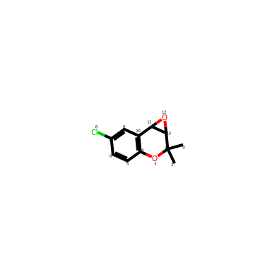 CC1(C)Oc2ccc(Cl)cc2C2OC21